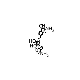 N#Cc1cc2ccc(CC[C@H]3C[C@@H](n4ccc5c(N)ncnc54)[C@H](O)[C@@H]3O)cc2nc1N